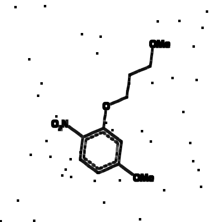 COCCCOc1cc(OC)ccc1[N+](=O)[O-]